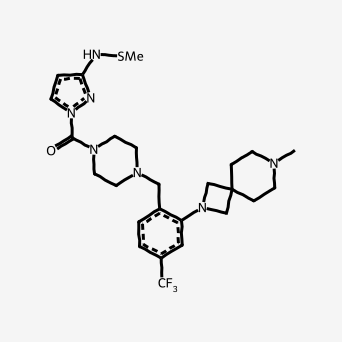 CSNc1ccn(C(=O)N2CCN(Cc3ccc(C(F)(F)F)cc3N3CC4(CCN(C)CC4)C3)CC2)n1